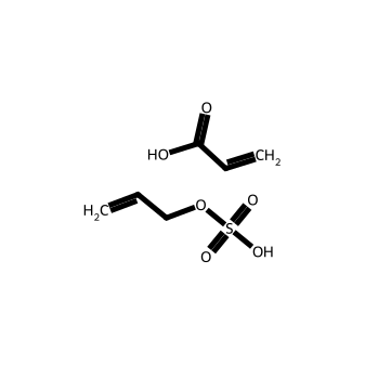 C=CC(=O)O.C=CCOS(=O)(=O)O